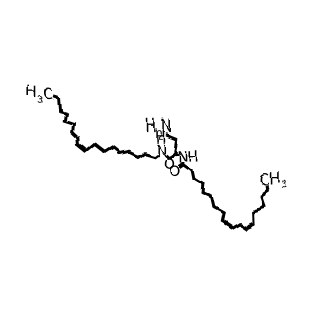 CCCCC/C=C\C/C=C\CCCCCCCC(=O)NC(CCN)C(=O)NCCCCCCCC/C=C\CCCCCCCC